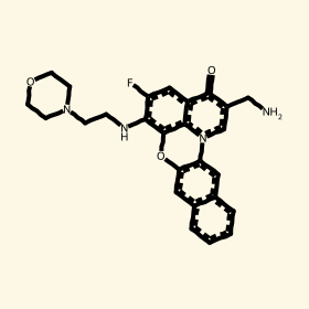 NCc1cn2c3c(c(NCCN4CCOCC4)c(F)cc3c1=O)Oc1cc3ccccc3cc1-2